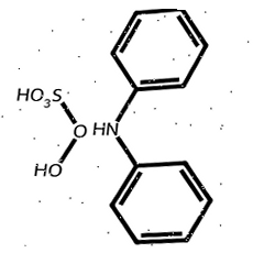 O=S(=O)(O)OO.c1ccc(Nc2ccccc2)cc1